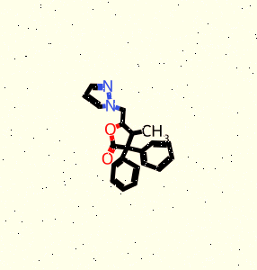 CC1C(Cn2cccn2)OC(=O)C1(c1ccccc1)c1ccccc1